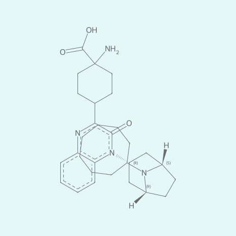 NC1(C(=O)O)CCC(c2nc3ccccc3n([C@H]3C[C@H]4CC[C@@H](C3)N4C3CCCCCCC3)c2=O)CC1